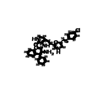 NC(C(=O)Nc1c(CC[C@@H]2CNC[C@@H](CSc3ccc(Cl)cc3)O2)cc[nH]c1=O)C(c1ccccc1)c1ccccc1